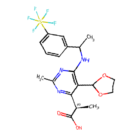 Cc1nc(NC(C)c2cccc(S(F)(F)(F)(F)F)c2)c(C2OCCO2)c([C@@H](C)C(=O)O)n1